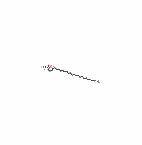 CCCCCCCCCCCCCCCCCCCCCCC1CCC[Si](C)(C)O1